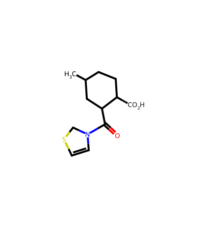 CC1CCC(C(=O)O)C(C(=O)N2C=CSC2)C1